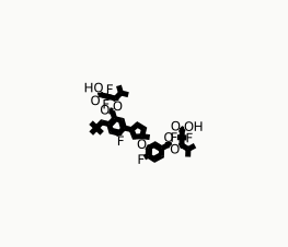 CC(C)C(OC(=O)c1ccc(F)c(OC2(C)CCC(c3cc(C(=O)OC(C(C)C)C(F)(F)C(=O)O)c(CC(C)(C)C)cc3F)C2)c1)C(F)(F)C(=O)O